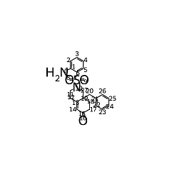 Nc1ccccc1S(=O)(=O)N1CCC2=CC(=O)CCC2(Cc2ccccc2)C1